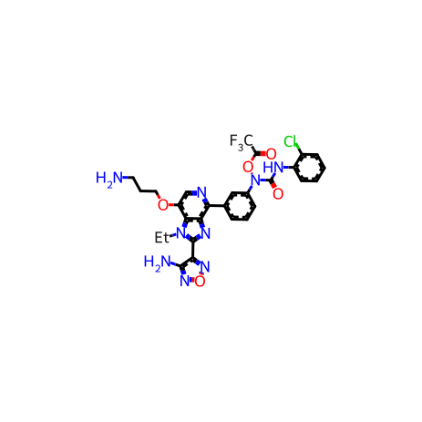 CCn1c(-c2nonc2N)nc2c(-c3cccc(N(OC(=O)C(F)(F)F)C(=O)Nc4ccccc4Cl)c3)ncc(OCCCN)c21